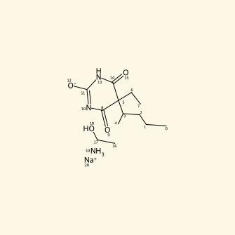 CCCC(C)C1(CC)C(=O)N=C([O-])NC1=O.CCO.N.[Na+]